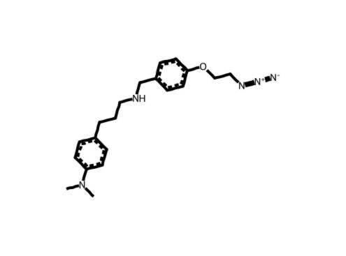 CN(C)c1ccc(CCCNCc2ccc(OCCN=[N+]=[N-])cc2)cc1